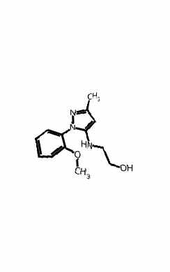 COc1ccccc1-n1nc(C)cc1NCCO